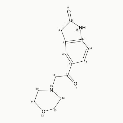 O=C1Cc2cc(C(=O)CN3CCOCC3)ccc2N1